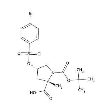 CC(C)(C)OC(=O)N1C[C@@H](OS(=O)(=O)c2ccc(Br)cc2)C[C@@]1(C)C(=O)O